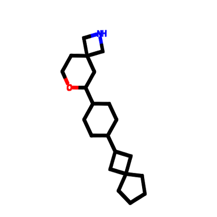 C1CCC2(C1)CC(C1CCC(C3CC4(CCO3)CNC4)CC1)C2